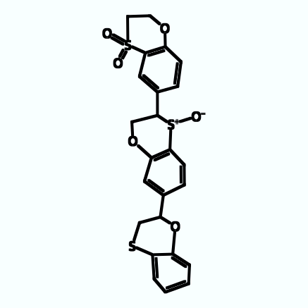 O=S1(=O)CCOc2ccc(C3COc4cc(C5CSc6ccccc6O5)ccc4[S+]3[O-])cc21